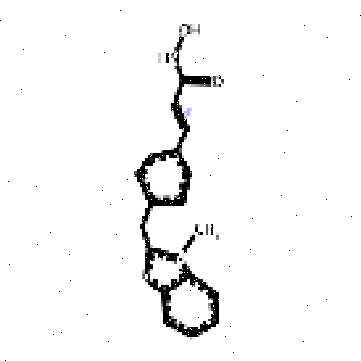 Cn1c(Cc2ccc(/C=C/C(=O)NO)cc2)nc2ccccc21